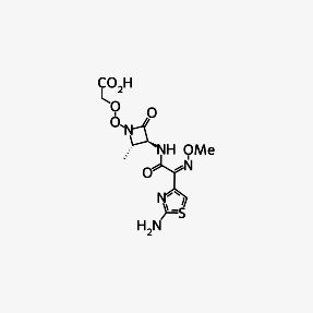 CO/N=C(\C(=O)N[C@@H]1C(=O)N(OOCC(=O)O)[C@H]1C)c1csc(N)n1